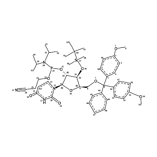 COc1ccc(C(OC[C@H]2O[C@@H](n3ccc(=O)[nH]c3=O)[C@H](OP(OCCC#N)N(C(C)C)C(C)C)[C@H]2O[Si](C)(C)C(C)(C)C)(c2ccccc2)c2ccc(OC)cc2)cc1